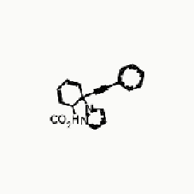 O=C(O)C1C=CC=CC1(C#Cc1ccccc1)n1cccn1